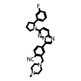 CN1CCN(Cc2cc(-c3cnc4ccc(N5CCCC5c5cccc(F)c5)nn34)ccc2C#N)CC1